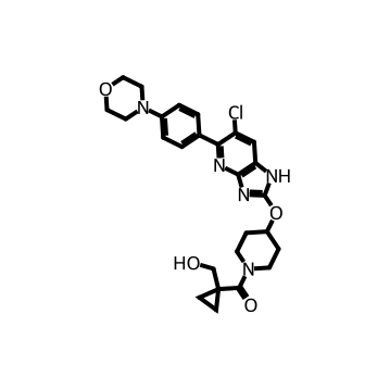 O=C(N1CCC(Oc2nc3nc(-c4ccc(N5CCOCC5)cc4)c(Cl)cc3[nH]2)CC1)C1(CO)CC1